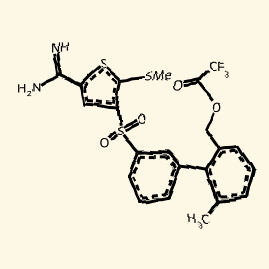 CSc1sc(C(=N)N)cc1S(=O)(=O)c1cccc(-c2c(C)cccc2COC(=O)C(F)(F)F)c1